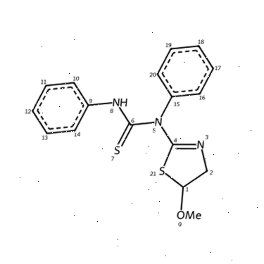 COC1CN=C(N(C(=S)Nc2ccccc2)c2ccccc2)S1